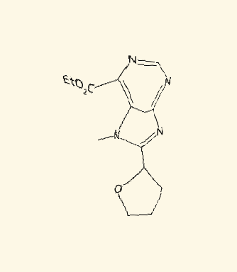 CCOC(=O)c1ncnc2nc(C3CCCO3)n(C)c12